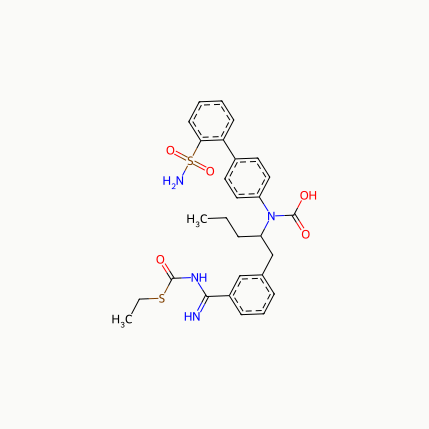 CCCC(Cc1cccc(C(=N)NC(=O)SCC)c1)N(C(=O)O)c1ccc(-c2ccccc2S(N)(=O)=O)cc1